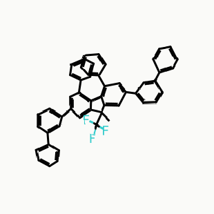 CC1(C(F)(F)F)c2cc(-c3cccc(-c4ccccc4)c3)cc(-c3ccccc3)c2-c2c(-c3ccccc3)cc(-c3cccc(-c4ccccc4)c3)cc21